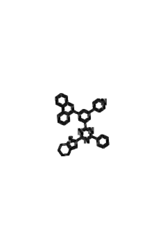 c1ccc(-c2nc(-c3cc(-c4ccncc4)cc(-c4cc5ccccc5c5ccccc45)c3)nc(-c3cc4c(s3)CCCC4)n2)cc1